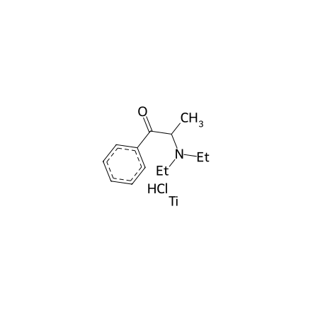 CCN(CC)C(C)C(=O)c1ccccc1.Cl.[Ti]